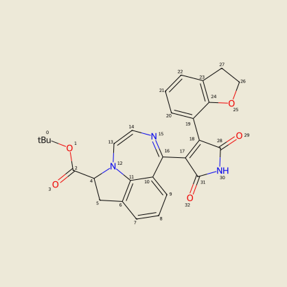 CC(C)(C)OC(=O)C1Cc2cccc3c2N1C=CN=C3C1=C(c2cccc3c2OCC3)C(=O)NC1=O